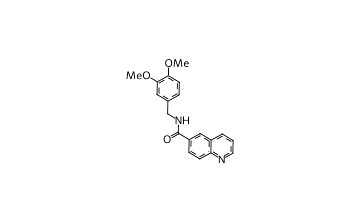 COc1ccc(CNC(=O)c2ccc3ncccc3c2)cc1OC